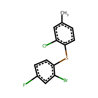 Cc1ccc(Sc2ccc(F)cc2Br)c(Cl)c1